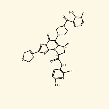 Cc1ncnc(C(=O)N2CCN(c3c4n(c5nc(C6=CCOCC6)nn5c3=O)[C@H](C(=O)Nc3ccc(C(F)(F)F)nc3Cl)C[C@@H]4C)CC2)c1O